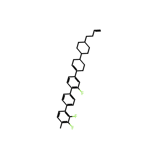 C=CCCC1CCC(C2CC=C(c3ccc(-c4ccc(-c5ccc(C)c(F)c5F)cc4)c(F)c3)CC2)CC1